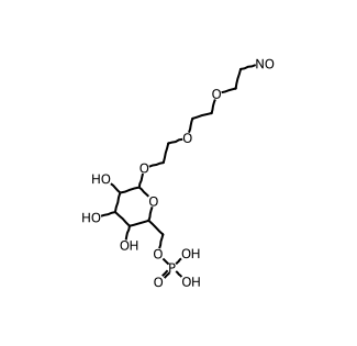 O=NCCOCCOCCOC1OC(COP(=O)(O)O)C(O)C(O)C1O